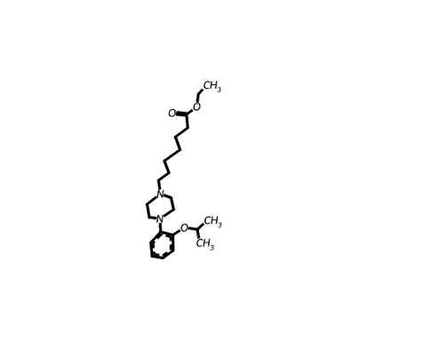 CCOC(=O)CCCCCCN1CCN(c2ccccc2OC(C)C)CC1